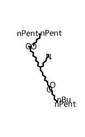 CCCCCC(CCCC)CCCCOC(=O)CCCCCCCC(CCCCCCCC(=O)OCCCCC(CCCCC)CCCCC)CCCCN(C)C